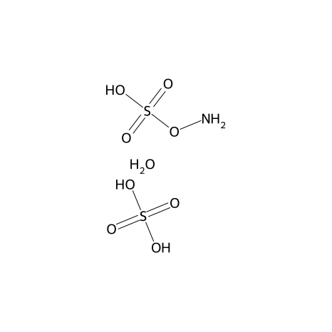 NOS(=O)(=O)O.O.O=S(=O)(O)O